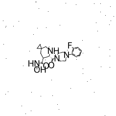 O=C(NO)C1CC2(CC2)CN[C@@H]1C(=O)N1CCN(c2ccccc2F)CC1